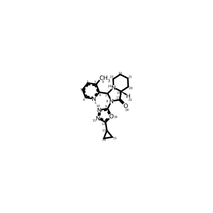 Cc1cccnc1C1N(c2nnc(C3CC3)o2)C(=O)[C@H]2CCCCN12